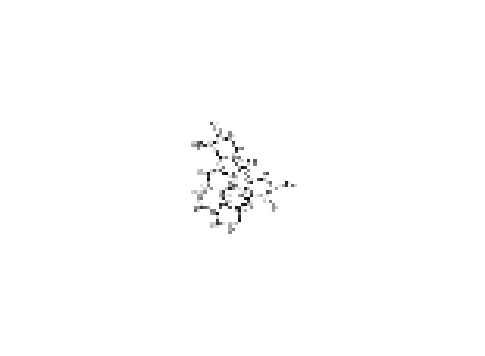 O=P(c1ccc(F)c(F)c1)(c1ccc(F)c(F)c1)c1ccc2ccc3cccc4ccc1c2c34